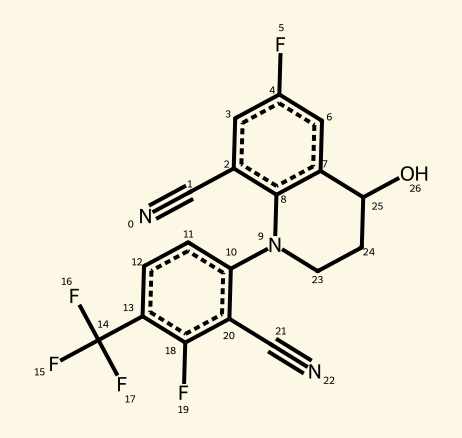 N#Cc1cc(F)cc2c1N(c1ccc(C(F)(F)F)c(F)c1C#N)CCC2O